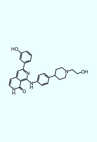 O=c1[nH]ccc2cc(-c3cccc(O)c3)nc(Nc3ccc(C4CCN(CCO)CC4)cc3)c12